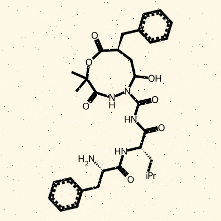 CC(C)C[C@H](NC(=O)[C@@H](N)Cc1ccccc1)C(=O)NC(=O)N1NC(=O)C(C)(C)OC(=O)[C@@H](Cc2ccccc2)CC1O